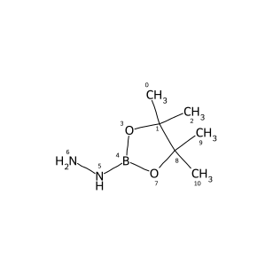 CC1(C)OB(NN)OC1(C)C